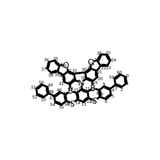 c1ccc(-c2ccc3c(c2)B2c4c(cc5c6c4-n4c7c2cc2c8ccccc8oc2c7c2c7oc8ccccc8c7cc(c24)B6c2cc(-c4ccccc4)ccc2S5)S3)cc1